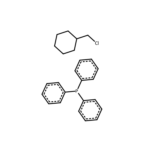 ClCC1CCCCC1.c1ccc(P(c2ccccc2)c2ccccc2)cc1